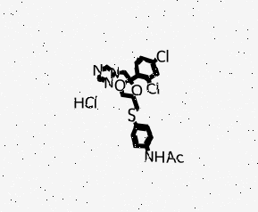 CC(=O)Nc1ccc(SCC2COC(Cn3cncn3)(c3ccc(Cl)cc3Cl)O2)cc1.Cl